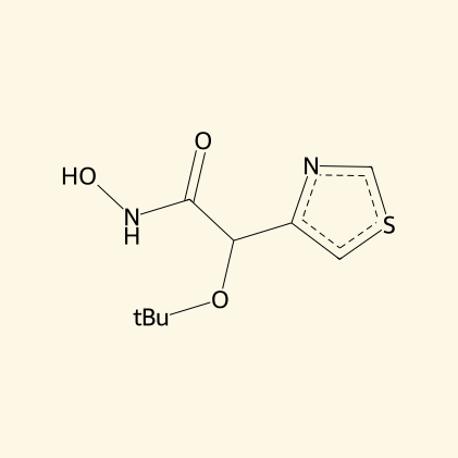 CC(C)(C)OC(C(=O)NO)c1cscn1